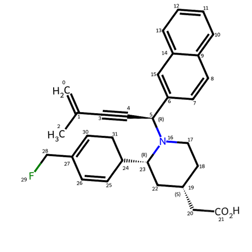 C=C(C)C#C[C@@H](c1ccc2ccccc2c1)N1CC[C@H](CC(=O)O)C[C@@H]1C1C=CC(CF)=CC1